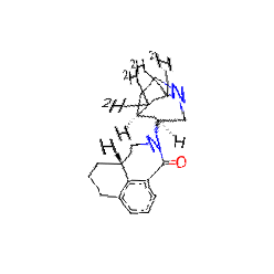 [2H]C1([2H])[C@@H]2CCN(C[C@H]2N2C[C@H]3CCCc4cccc(c43)C2=O)C1([2H])[2H]